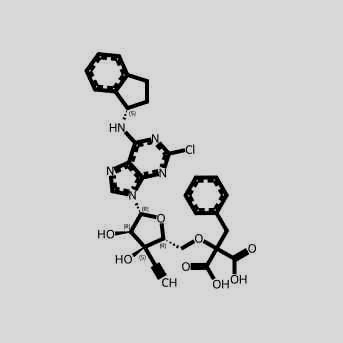 C#C[C@@]1(O)[C@@H](COC(Cc2ccccc2)(C(=O)O)C(=O)O)O[C@@H](n2cnc3c(N[C@H]4CCc5ccccc54)nc(Cl)nc32)[C@@H]1O